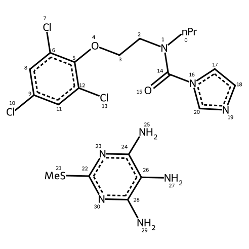 CCCN(CCOc1c(Cl)cc(Cl)cc1Cl)C(=O)n1ccnc1.CSc1nc(N)c(N)c(N)n1